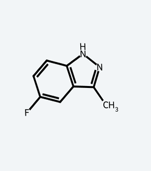 Cc1n[nH]c2ccc(F)cc12